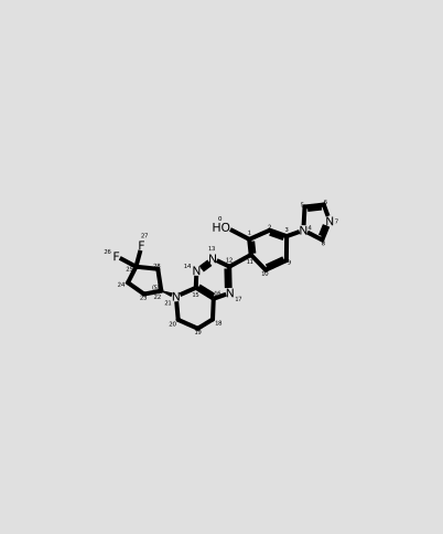 Oc1cc(-n2ccnc2)ccc1-c1nnc2c(n1)CCCN2[C@H]1CCC(F)(F)C1